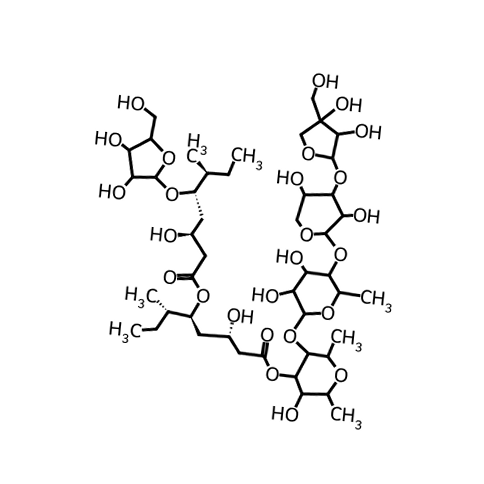 CC[C@H](C)[C@H](C[C@H](O)CC(=O)OC1C(O)C(C)OC(C)C1OC1OC(C)C(OC2OCC(O)C(OC3OCC(O)(CO)C3O)C2O)C(O)C1O)OC(=O)C[C@@H](O)C[C@H](OC1OC(CO)C(O)C1O)[C@@H](C)CC